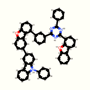 c1ccc(-c2nc(-c3cccc(-c4cccc5oc6ccc(-c7ccc8c(c7)c7ccccc7n8-c7ccccc7)cc6c45)c3)nc(-c3cccc4c3oc3ccccc34)n2)cc1